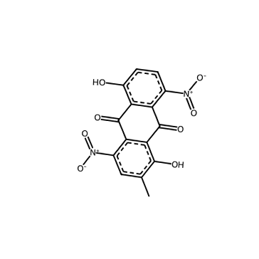 Cc1cc([N+](=O)[O-])c2c(c1O)C(=O)c1c([N+](=O)[O-])ccc(O)c1C2=O